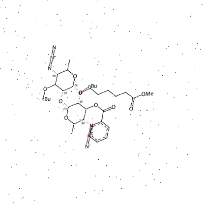 CCCCOC1[C@H](N=[N+]=[N-])C(C)O[C@H](OCCCCCC(=O)OC)[C@@H]1O[C@H]1OC(C)[C@@H](N=[N+]=[N-])C(OC(=O)c2ccccc2)[C@H]1OCCCC